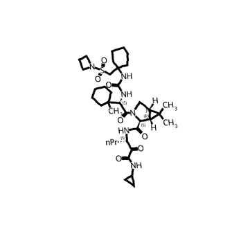 CCC[C@H](NC(=O)[C@@H]1[C@@H]2[C@H](CN1C(=O)[C@@H](NC(=O)NC1(CS(=O)(=O)N3CCC3)CCCCC1)C1(C)CCCCC1)C2(C)C)C(=O)C(=O)NC1CC1